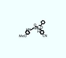 COc1ccc(NCCNC(=O)[C@H](CCC2CCCCC2)NC(=O)c2ccc(C#N)cc2)cc1